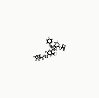 CC1(Oc2ncnc3c2nc(-c2ccc(OCCN4CC5CC(C4)N5)cc2Cl)n3Cc2ccccc2)CC1